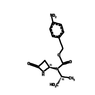 C[C@H](C(=O)O)N(C(=O)OCc1ccc([N+](=O)[O-])cc1)[C@@H]1CC(=O)N1